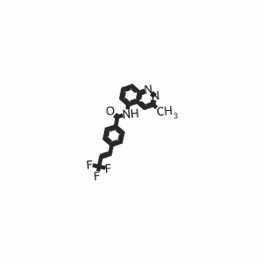 Cc1cc2c(NC(=O)c3ccc(C=CC(F)(F)F)cc3)cccc2nn1